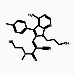 Cc1ccc(-c2c(/C=C(\C#N)C(=O)N(C)CCO)n(CCCO)c3ncnc(N)c23)cc1